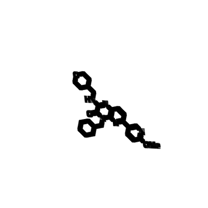 COc1ccc(-c2ccc3nc(NCC4CCOCC4)c(=O)n(CC4CCCCC4)c3n2)cn1